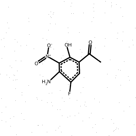 CC(=O)c1cc(F)c(N)c([N+](=O)[O-])c1O